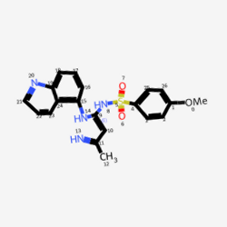 COc1ccc(S(=O)(=O)N/C(=C/C(C)=N)Nc2cccc3ncccc23)cc1